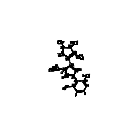 CCCCn1nc(-c2c(F)cccc2Cl)nc1-c1sc(Cl)c(Cl)c1Cl